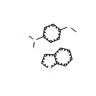 COc1ccc(B(O)O)cc1.c1ccc2[nH]ccc2c1